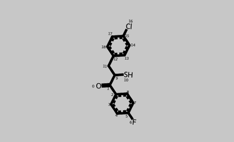 O=C(c1ccc(F)cc1)C(S)Cc1ccc(Cl)cc1